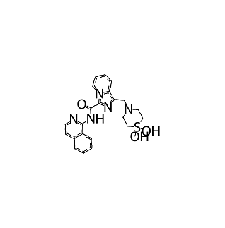 O=C(Nc1nccc2ccccc12)c1nc(CN2CCS(O)(O)CC2)c2ccccn12